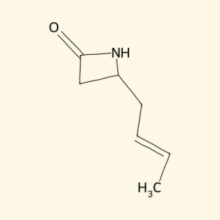 CC=CCC1CC(=O)N1